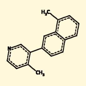 Cc1ccncc1-c1ccc2cccc(C)c2c1